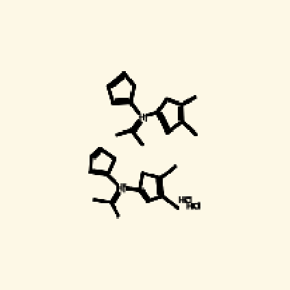 CC1=C(C)C[C]([Hf]([C]2=CC=CC2)=[C](C)C)=C1.CC1=C(C)C[C]([Hf]([C]2=CC=CC2)=[C](C)C)=C1.Cl.Cl